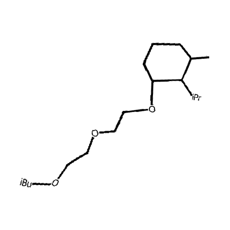 CCC(C)OCCOCCOC1CCCC(C)C1C(C)C